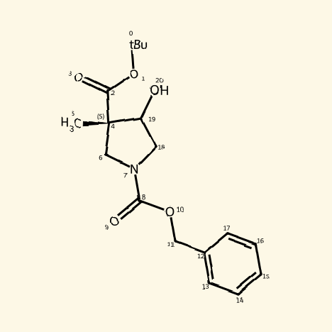 CC(C)(C)OC(=O)[C@@]1(C)CN(C(=O)OCc2ccccc2)CC1O